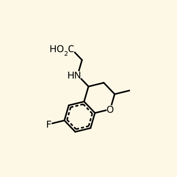 CC1CC(NCC(=O)O)c2cc(F)ccc2O1